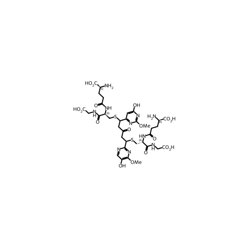 COc1nc(O)cc(C(CC(=O)CC(SC[C@H](NC(=O)CC[C@@H](N)C(=O)O)C(=O)NCC(=O)O)c2ncc(O)c(OC)n2)SC[C@H](NC(=O)CC[C@H](N)C(=O)O)C(=O)NCC(=O)O)n1